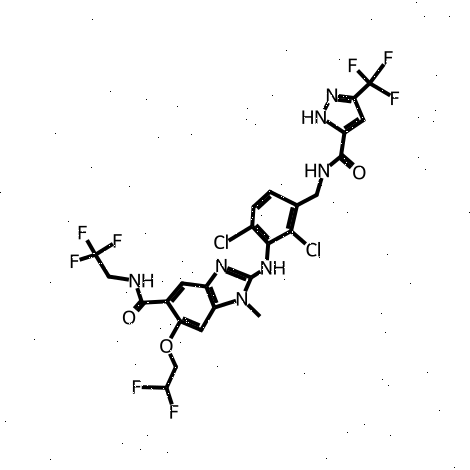 Cn1c(Nc2c(Cl)ccc(CNC(=O)c3cc(C(F)(F)F)n[nH]3)c2Cl)nc2cc(C(=O)NCC(F)(F)F)c(OCC(F)F)cc21